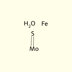 O.[Fe].[S]=[Mo]